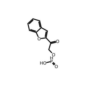 O=C(CO[PH](=O)O)c1cc2ccccc2o1